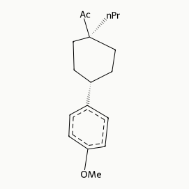 CCC[C@]1(C(C)=O)CC[C@H](c2ccc(OC)cc2)CC1